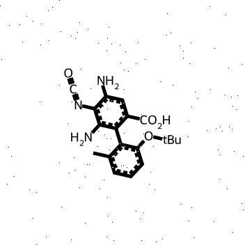 Cc1cccc(OC(C)(C)C)c1-c1c(C(=O)O)cc(N)c(N=C=O)c1N